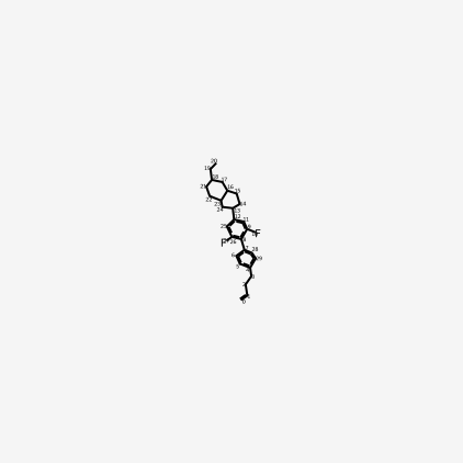 C=CCCc1ccc(-c2c(F)cc(C3CCC4CC(CC)CCC4C3)cc2F)cc1